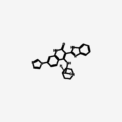 O=c1[nH]c2cc(-n3ccnc3)ccc2c(N[C@H]2CN3CCC2CC3)c1-c1nc2ccccc2[nH]1